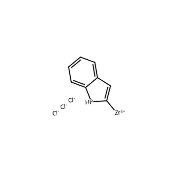 [Cl-].[Cl-].[Cl-].[Zr+3][c]1cc2ccccc2[pH]1